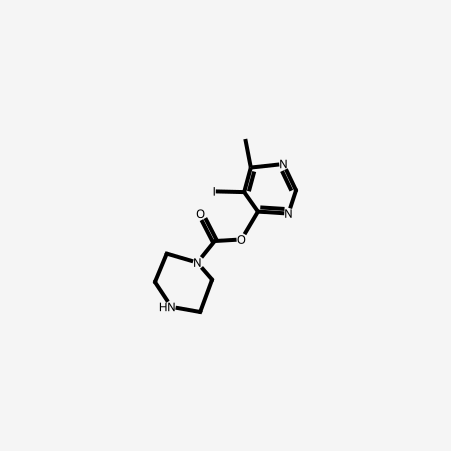 Cc1ncnc(OC(=O)N2CCNCC2)c1I